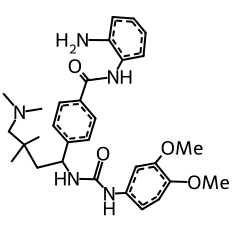 COc1ccc(NC(=O)NC(CC(C)(C)CN(C)C)c2ccc(C(=O)Nc3ccccc3N)cc2)cc1OC